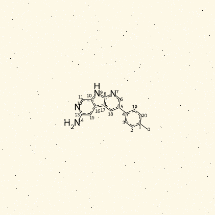 Cc1ccc(-c2cnc3[nH]c4cnc(N)cc4c3c2)cc1